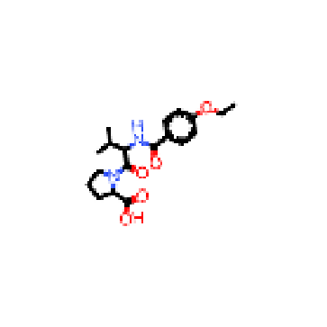 CCOc1ccc(C(=O)NC(C(=O)N2CCCC2C(=O)O)C(C)C)cc1